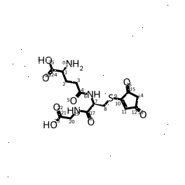 N[C@@H](CCC(=O)N[C@@H](CSC1=CC(=O)CC1=O)C(=O)NCC(=O)O)C(=O)O